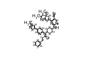 COC1(CC(C)=N)CCN(c2nc(N[C@H]3CC[C@H](N(C(=O)CCc4ccccc4)c4ccc(-c5cnn(C)c5)cn4)CC3)ncc2C#N)C1